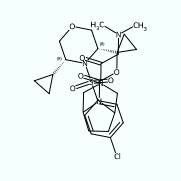 CN(C)CC(=O)N1CC2CCC(C1)N2C(=O)OC1([C@H]2COC[C@@H](C3CC3)N2S(=O)(=O)c2ccc(Cl)cc2)CC1